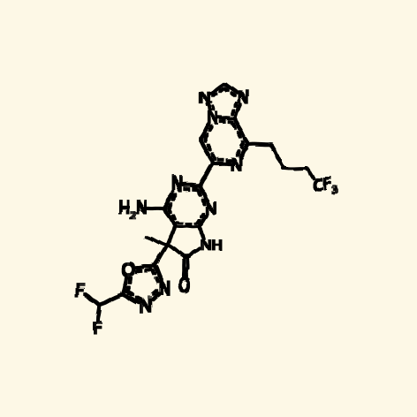 CC1(c2nnc(C(F)F)o2)C(=O)Nc2nc(-c3cn4ncnc4c(CCCC(F)(F)F)n3)nc(N)c21